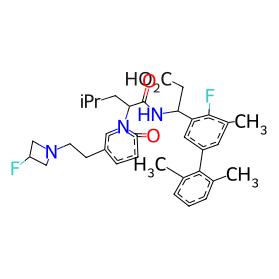 Cc1cc(-c2c(C)cccc2C)cc(C(CC(=O)O)NC(=O)C(CC(C)C)n2cc(CCN3CC(F)C3)ccc2=O)c1F